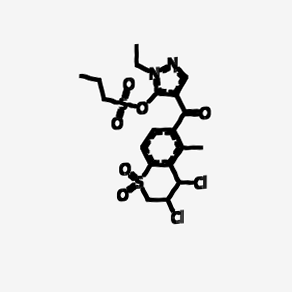 CCCS(=O)(=O)Oc1c(C(=O)c2ccc3c(c2C)C(Cl)C(Cl)CS3(=O)=O)cnn1CC